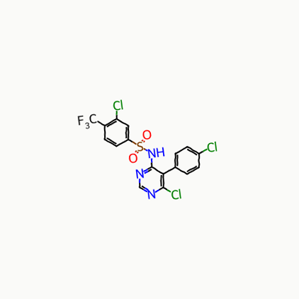 O=S(=O)(Nc1ncnc(Cl)c1-c1ccc(Cl)cc1)c1ccc(C(F)(F)F)c(Cl)c1